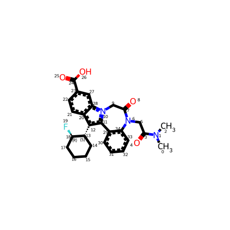 CN(C)C(=O)CN1C(=O)Cn2c(c([C@@H]3CCCC[C@H]3F)c3ccc(C(=O)O)cc32)-c2ccccc21